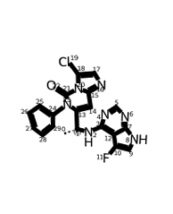 C[C@@H](Nc1ncnc2[nH]cc(F)c12)c1cc2ncc(Cl)n2c(=O)n1-c1ccccc1